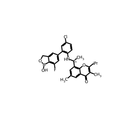 Cc1cc([C@H](C)Nc2ccc(Cl)cc2-c2cc(F)c3c(c2)COB3O)c2oc(C(C)C)c(C)c(=O)c2c1